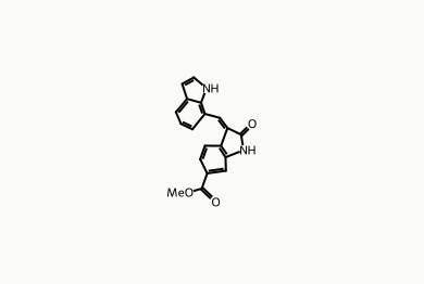 COC(=O)c1ccc2c(c1)NC(=O)/C2=C/c1cccc2cc[nH]c12